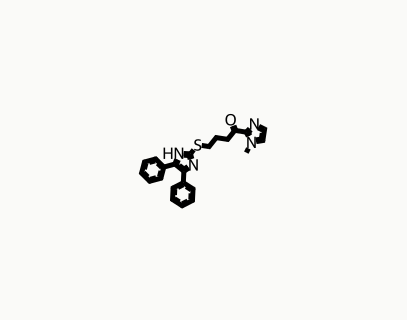 Cn1ccnc1C(=O)CCCSc1nc(-c2ccccc2)c(-c2ccccc2)[nH]1